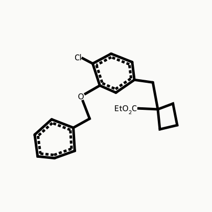 CCOC(=O)C1(Cc2ccc(Cl)c(OCc3ccccc3)c2)CCC1